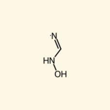 [N]=CNO